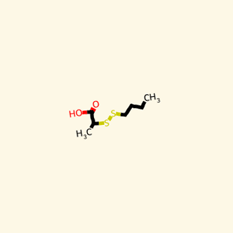 CCCCSSC(C)C(=O)O